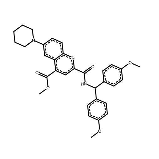 COC(=O)c1cc(C(=O)NC(c2ccc(OC)cc2)c2ccc(OC)cc2)nc2ccc(N3CCCCC3)cc12